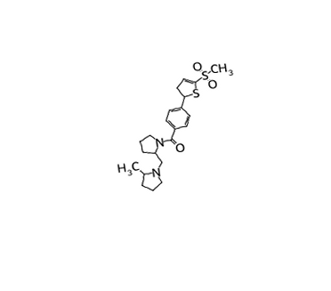 CC1CCCN1CC1CCCN1C(=O)c1ccc(C2CC=C(S(C)(=O)=O)S2)cc1